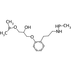 CPNCCCc1ccccc1OCC(O)COP(C)C